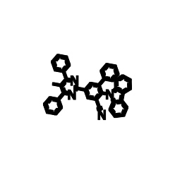 Cc1c(-c2ccccc2)nc(-c2cc(C#N)c(-n3c4ccccc4c4ccccc43)c(-c3ccccc3)c2)nc1-c1ccccc1